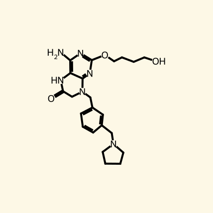 Nc1nc(OCCCCO)nc2c1NC(=O)CN2Cc1cccc(CN2CCCC2)c1